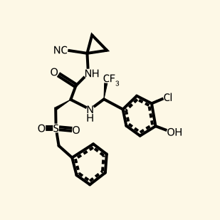 N#CC1(NC(=O)[C@H](CS(=O)(=O)Cc2ccccc2)N[C@H](c2ccc(O)c(Cl)c2)C(F)(F)F)CC1